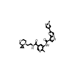 Cc1ncc(C(=O)NCCN2CCOCC23CC3)cc1NC(=O)c1cnn2cc(-c3cnn(C)c3)sc12